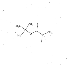 CC(F)C(F)OC(C)(C)C